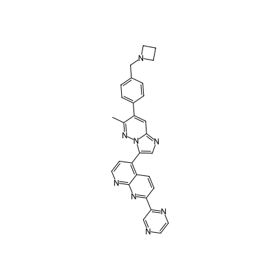 Cc1nn2c(-c3ccnc4nc(-c5cnccn5)ccc34)cnc2cc1-c1ccc(CN2CCC2)cc1